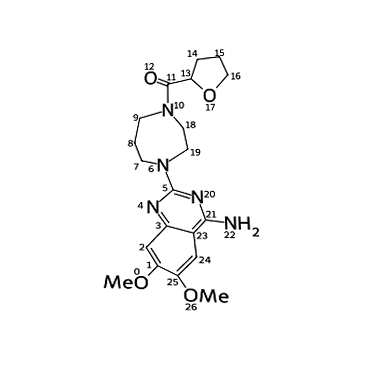 COc1cc2nc(N3CCCN(C(=O)C4CCCO4)CC3)nc(N)c2cc1OC